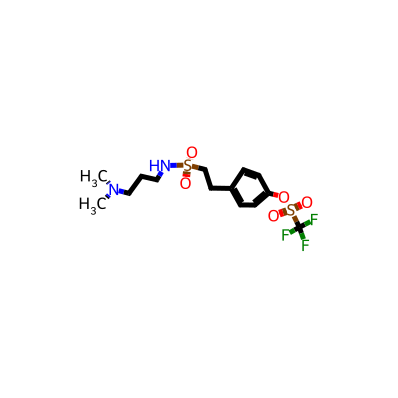 CN(C)CCCNS(=O)(=O)CCc1ccc(OS(=O)(=O)C(F)(F)F)cc1